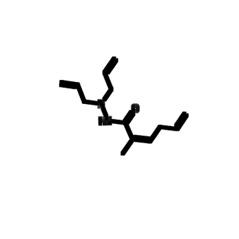 C=CCC=C(C)C(=O)NN(CC=C)CC=C